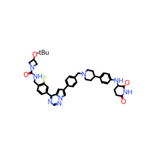 CC(C)(C)OC1CN(C(=O)NCc2ccc(-c3ncnn4cc(-c5ccc(CN6CCC(c7ccc(NC8CCC(=O)NC8=O)cc7)CC6)cc5)cc34)cc2F)C1